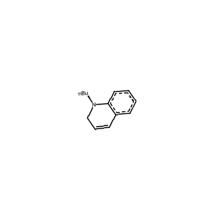 CCC[CH]N1CC=Cc2ccccc21